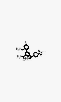 CCS(=O)(=O)N1CCC(c2c[nH]c3c(C(N)=O)cc(-c4ccc(F)cc4CN)cc23)CC1